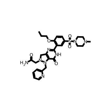 CCCOc1ccc(S(=O)(=O)N2CCN(C)CC2)cc1-c1nc2c(c(=O)[nH]1)N(Cc1ccccn1)N(CC(N)=O)C2